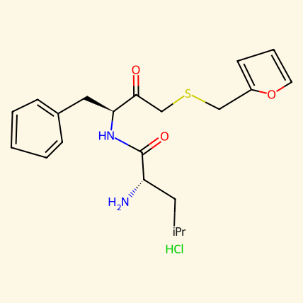 CC(C)C[C@H](N)C(=O)N[C@@H](Cc1ccccc1)C(=O)CSCc1ccco1.Cl